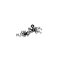 COc1cc(/N=C(\C)N2CCCN(C(=O)OC(C)(C)C)CC2)c(C#N)c(-c2ccccc2)c1OC